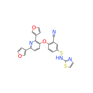 N#Cc1cc(SNc2nccs2)ccc1Oc1ccc(-c2ccoc2)nc1-c1ccoc1